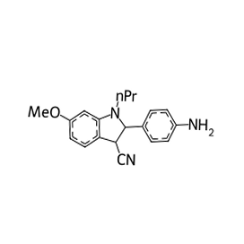 CCCN1c2cc(OC)ccc2C(C#N)C1c1ccc(N)cc1